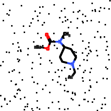 CCCCOC(=O)N(C)C1CCN(CC(C)=O)CC1